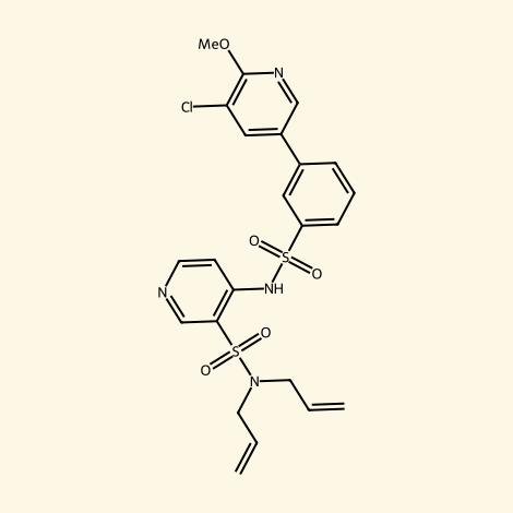 C=CCN(CC=C)S(=O)(=O)c1cnccc1NS(=O)(=O)c1cccc(-c2cnc(OC)c(Cl)c2)c1